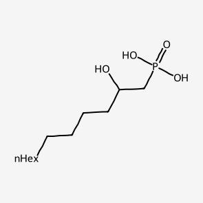 CCCCCCCCCCC(O)CP(=O)(O)O